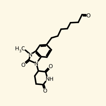 Cn1c(=O)n(C2CCC(=O)NC2=O)c2ccc(CCCCCCC=O)cc21